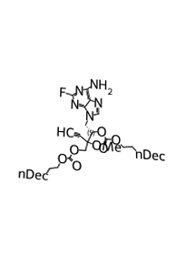 C#CC(COC(=O)OCCCCCCCCCCCC)(OC)[C@H](Cn1cnc2c(N)nc(F)nc21)OC(=O)OCCCCCCCCCCCC